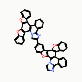 c1ccc2c(c1)oc1c3c4cc(-c5cn6c(n5)c5ccccc5c5c7c8ccccc8oc7c7oc8ccccc8c7c56)ccc4oc3c3c(c4ccccc4c4nccn43)c21